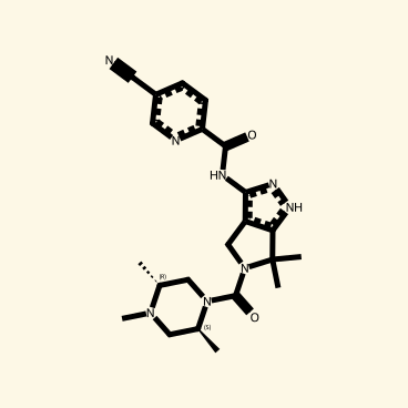 C[C@@H]1CN(C(=O)N2Cc3c(NC(=O)c4ccc(C#N)cn4)n[nH]c3C2(C)C)[C@@H](C)CN1C